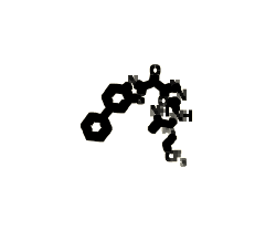 C=C(N)[C@@H](CCC(F)(F)F)Nc1nnc(C(=O)c2nc3ccc(-c4ccccc4)cc3s2)o1